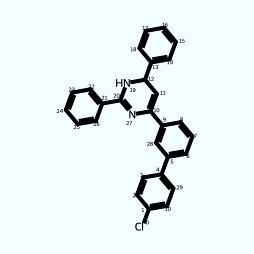 Clc1ccc(-c2cccc(C3=CC(c4ccccc4)NC(c4ccccc4)=N3)c2)cc1